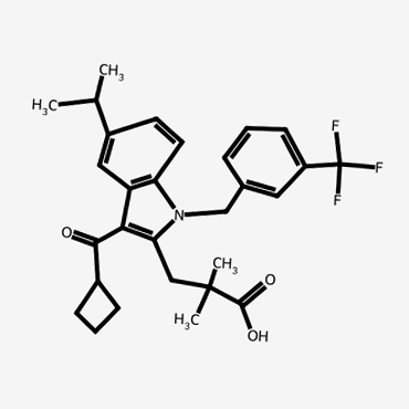 CC(C)c1ccc2c(c1)c(C(=O)C1CCC1)c(CC(C)(C)C(=O)O)n2Cc1cccc(C(F)(F)F)c1